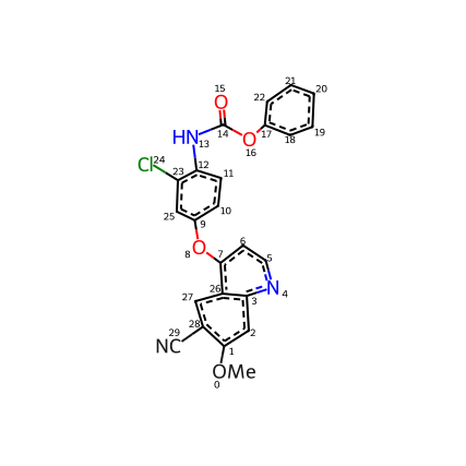 COc1cc2nccc(Oc3ccc(NC(=O)Oc4ccccc4)c(Cl)c3)c2cc1C#N